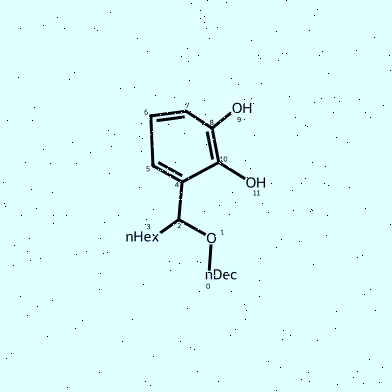 CCCCCCCCCCOC(CCCCCC)c1cccc(O)c1O